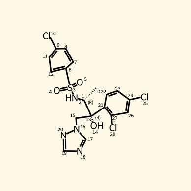 C[C@@H](NS(=O)(=O)c1ccc(Cl)cc1)[C@](O)(Cn1cncn1)c1ccc(Cl)cc1Cl